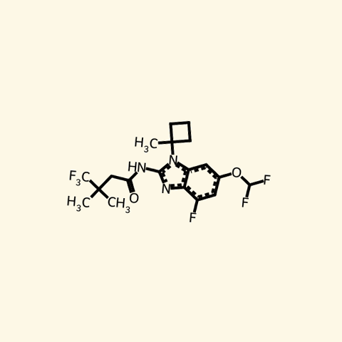 CC1(n2c(NC(=O)CC(C)(C)C(F)(F)F)nc3c(F)cc(OC(F)F)cc32)CCC1